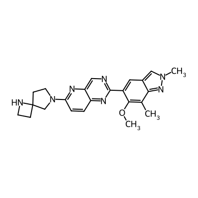 COc1c(-c2ncc3nc(N4CCC5(CCN5)C4)ccc3n2)cc2cn(C)nc2c1C